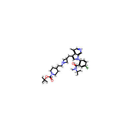 Cc1cncc2c1c(CC1CN(CCC3CCN(C(=O)OC(C)(C)C)CC3)C1)cn2-c1ccc(F)cc1C(=O)N(C)C(C)C